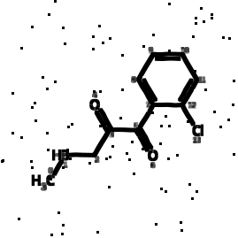 CBCC(=O)C(=O)c1ccccc1Cl